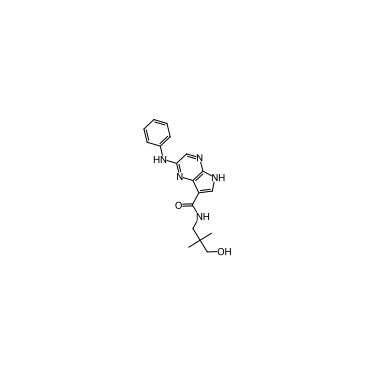 CC(C)(CO)CNC(=O)c1c[nH]c2ncc(Nc3ccccc3)nc12